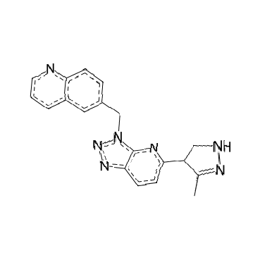 CC1=NNCC1c1ccc2nnn(Cc3ccc4ncccc4c3)c2n1